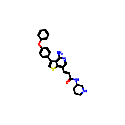 Nc1ncc(C=CC(=O)N[C@@H]2CCCNC2)c2scc(-c3ccc(Oc4ccccc4)cc3)c12